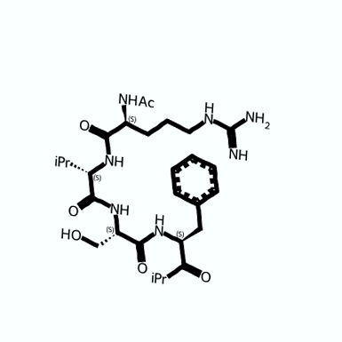 CC(=O)N[C@@H](CCCNC(=N)N)C(=O)N[C@H](C(=O)N[C@@H](CO)C(=O)N[C@@H](Cc1ccccc1)C(=O)C(C)C)C(C)C